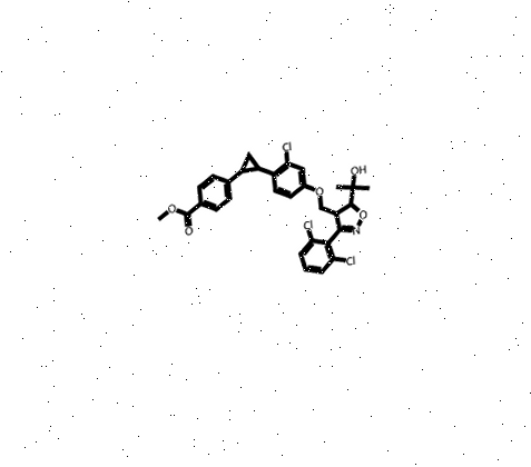 COC(=O)c1ccc(C2CC2c2ccc(OCC3C(c4c(Cl)cccc4Cl)=NOC3C(C)(C)O)cc2Cl)cc1